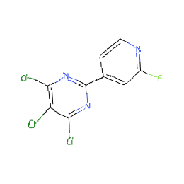 Fc1cc(-c2nc(Cl)c(Cl)c(Cl)n2)ccn1